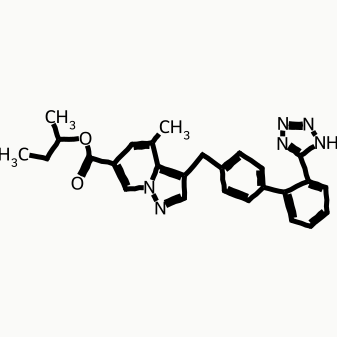 CCC(C)OC(=O)c1cc(C)c2c(Cc3ccc(-c4ccccc4-c4nnn[nH]4)cc3)cnn2c1